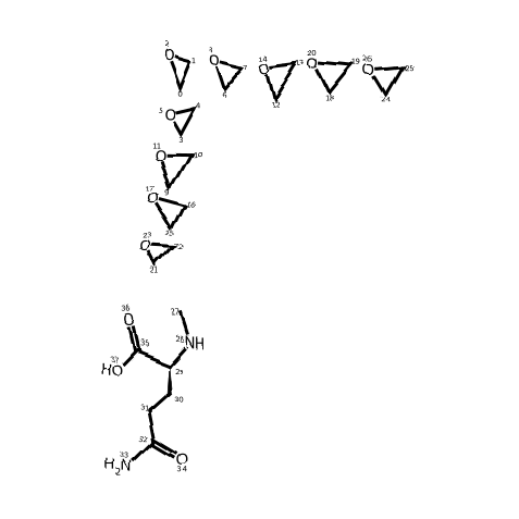 C1CO1.C1CO1.C1CO1.C1CO1.C1CO1.C1CO1.C1CO1.C1CO1.C1CO1.CN[C@@H](CCC(N)=O)C(=O)O